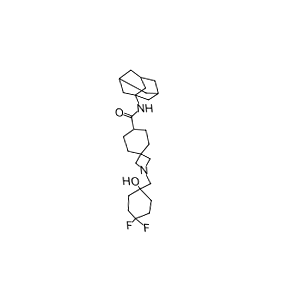 O=C(NC12CC3CC(CC(C3)C1)C2)C1CCC2(CC1)CN(CC1(O)CCC(F)(F)CC1)C2